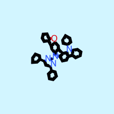 c1ccc(-c2cc(-c3ccccc3)nc(-n3c4cc5c(cc4c4c3ccc3c6ccccc6n(-c6ccccc6)c34)oc3ccccc35)n2)cc1